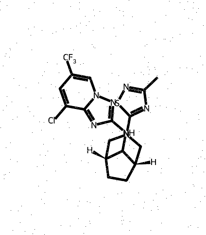 Cc1nsc(N2C[C@H]3CC[C@@H](C2)C3Nc2nc3c(Cl)cc(C(F)(F)F)cn3n2)n1